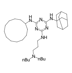 CCCCN(CCCC)CCCNc1nc(NC2CCCCCCCCCCC2)nc(NC23CC4CC(CC(C4)C2)C3)n1